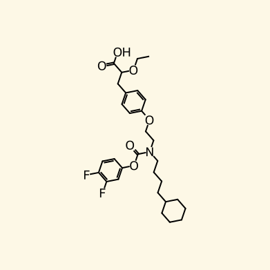 CCOC(Cc1ccc(OCCN(CCCCC2CCCCC2)C(=O)Oc2ccc(F)c(F)c2)cc1)C(=O)O